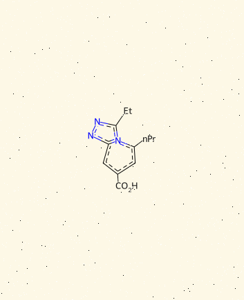 CCCc1cc(C(=O)O)cc2nnc(CC)n12